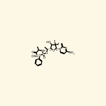 C=C1N=C(N)C=CN1[C@@H]1O[C@H](C(C)OP(=O)(NC(C)C(=O)OC)Oc2ccccc2)C(O)C1(F)F